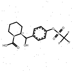 O=C(O)N1CCCC[C@H]1C(O)c1ccc(OS(=O)(=O)C(F)(F)F)cc1